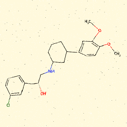 COc1ccc(C2CCCC(NC[C@H](O)c3cccc(Cl)c3)C2)cc1OC